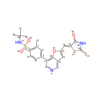 Cc1cc(-c2cncc3cc(/C=C4\SC(=S)NC4=O)oc23)ccc1S(=O)(=O)NC(C)(C)C